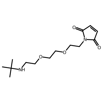 CC(C)(C)NCCOCCOCCN1C(=O)C=CC1=O